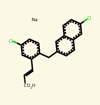 O=C(O)C=Cc1cc(Cl)ccc1Cc1ccc2cc(Cl)ccc2c1.[Na]